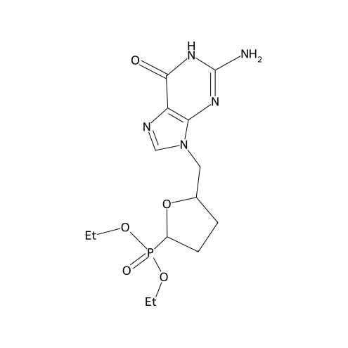 CCOP(=O)(OCC)C1CCC(Cn2cnc3c(=O)[nH]c(N)nc32)O1